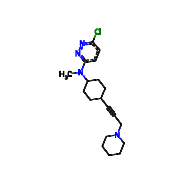 CN(c1ccc(Cl)nn1)C1CCC(C#CCN2CCCCC2)CC1